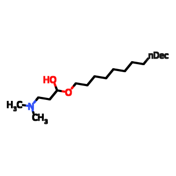 CCCCCCCCCCCCCCCCCCOC(O)CCN(C)C